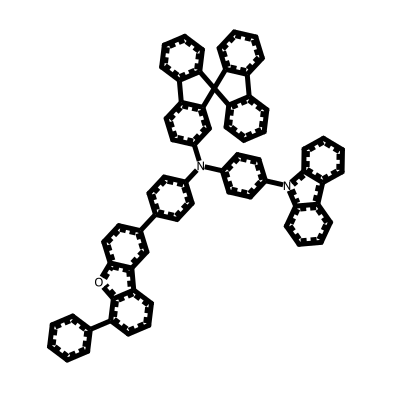 c1ccc(-c2cccc3c2oc2ccc(-c4ccc(N(c5ccc(-n6c7ccccc7c7ccccc76)cc5)c5ccc6c(c5)C5(c7ccccc7-c7ccccc75)c5ccccc5-6)cc4)cc23)cc1